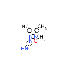 Cc1ccc(-c2c(-c3ccc(C#N)cc3)nc(N3CCC4CNCC4CC3)c(=O)n2C)cc1